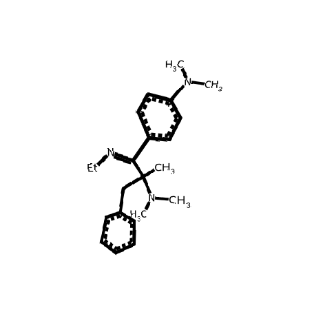 CC/N=C(/c1ccc(N(C)C)cc1)C(C)(Cc1ccccc1)N(C)C